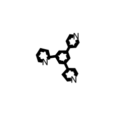 c1ccc(-c2cc(-c3ccncc3)cc(-c3ccncc3)c2)nc1